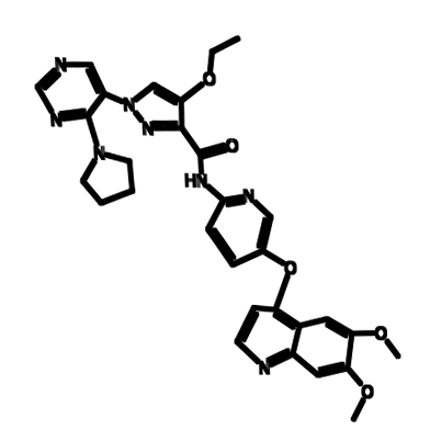 CCOc1cn(-c2cncnc2N2CCCC2)nc1C(=O)Nc1ccc(Oc2ccnc3cc(OC)c(OC)cc23)cn1